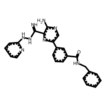 N=C(NNc1ccccn1)c1nc(-c2cccc(C(=O)NCc3ccccc3)c2)cnc1N